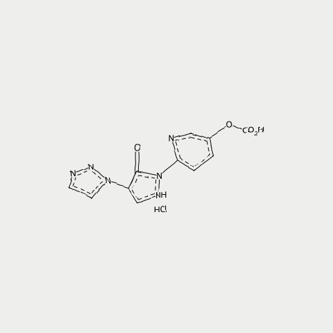 Cl.O=C(O)Oc1ccc(-n2[nH]cc(-n3ccnn3)c2=O)nc1